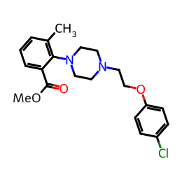 COC(=O)c1cccc(C)c1N1CCN(CCOc2ccc(Cl)cc2)CC1